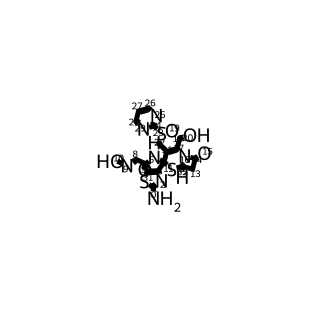 Nc1nc(C2(NC(=O)C=NO)S[C@H]3CC(=O)N3C(C(=O)O)=C2CSc2ncccn2)cs1